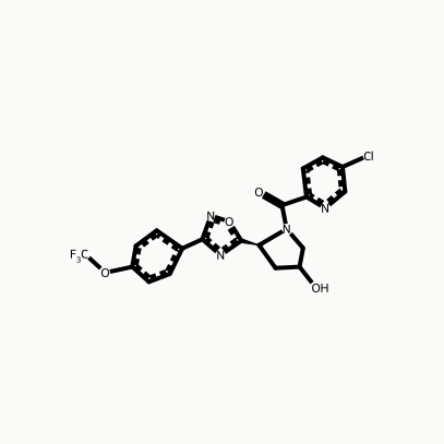 O=C(c1ccc(Cl)cn1)N1CC(O)C[C@H]1c1nc(-c2ccc(OC(F)(F)F)cc2)no1